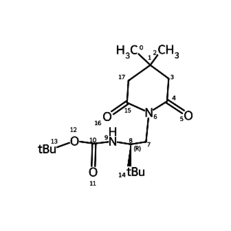 CC1(C)CC(=O)N(C[C@H](NC(=O)OC(C)(C)C)C(C)(C)C)C(=O)C1